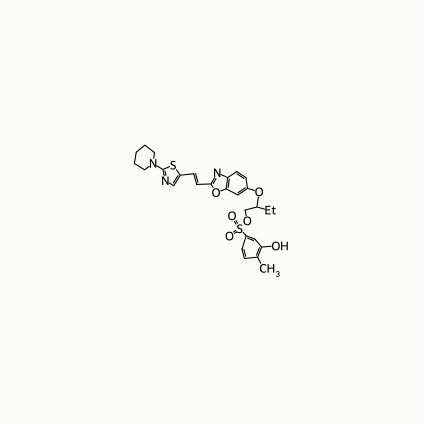 CCC(COS(=O)(=O)c1ccc(C)c(O)c1)Oc1ccc2nc(C=Cc3cnc(N4CCCCC4)s3)oc2c1